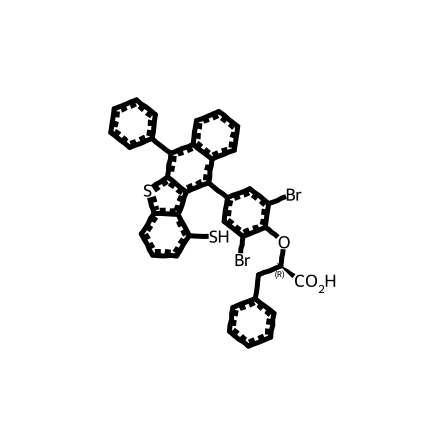 O=C(O)[C@@H](Cc1ccccc1)Oc1c(Br)cc(-c2c3ccccc3c(-c3ccccc3)c3sc4cccc(S)c4c23)cc1Br